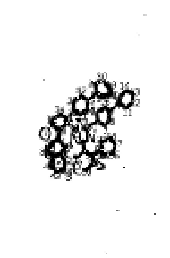 C=C/C(c1nc(-c2ccc(-c3ccccc3)cc2)nc(-c2c(-c3ccc(-c4ccccc4)cc3)ccc3oc4cc5ccccc5cc4c23)n1)=c1\c(=C/C)sc2ccccc12